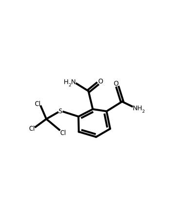 NC(=O)c1cccc(SC(Cl)(Cl)Cl)c1C(N)=O